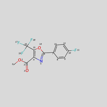 COC(=O)c1nc(-c2ccc(F)cc2)oc1C(F)(F)F